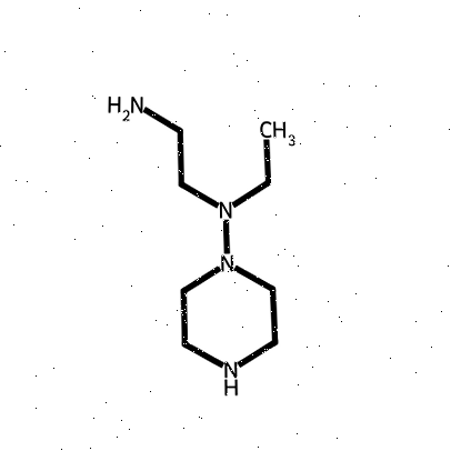 CCN(CCN)N1CCNCC1